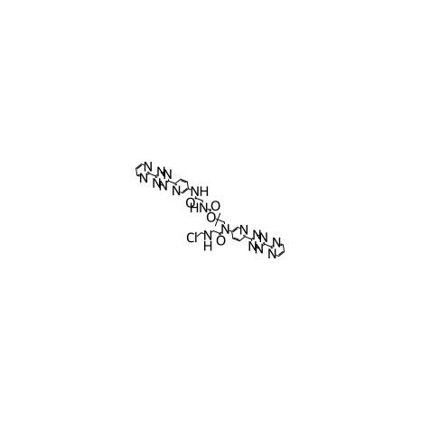 CC(C)(CN(C(=O)CNCCl)c1ccc(-c2nnc(-c3ncccn3)nn2)nc1)OC(=O)NCC(=O)Nc1ccc(-c2nnc(-c3ncccn3)nn2)nc1